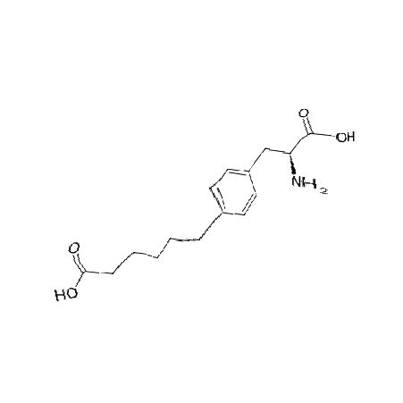 N[C@@H](Cc1ccc(CCCCCC(=O)O)cc1)C(=O)O